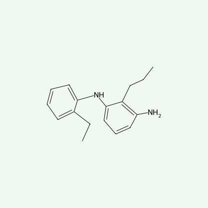 CCCc1c(N)cccc1Nc1ccccc1CC